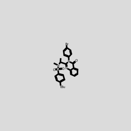 CC(c1nc2ccccc2c(=O)n1-c1ccc(Br)cc1)N(C)S(=O)(=O)c1ccc(C(C)(C)C)cc1